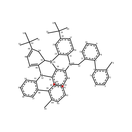 Cc1ccccc1-c1ccccc1CN1c2ccc(C(C)(C)C)cc2B2c3c1cccc3N(c1ccccc1-c1ccccc1C)C1=CC=C(C(C)(C)C)CC21